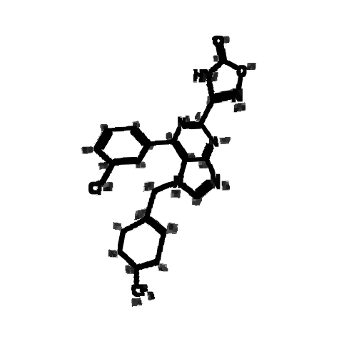 O=c1[nH]c(-c2nc(-c3cccc(Cl)c3)c3c(ncn3CC3CCC(C(F)(F)F)CC3)n2)no1